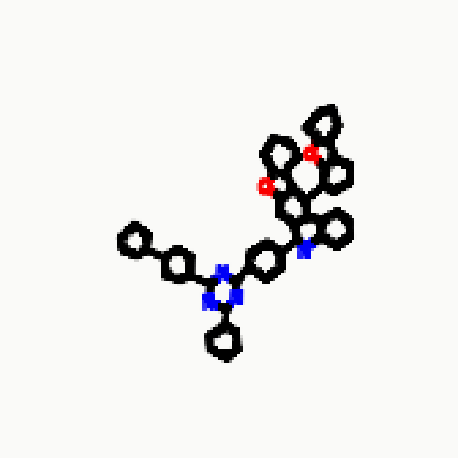 c1ccc(-c2ccc(-c3nc(-c4ccccc4)nc(-c4ccc(-c5nc6ccccc6c6c(-c7cccc8c7oc7ccccc78)c7c(cc56)oc5ccccc57)cc4)n3)cc2)cc1